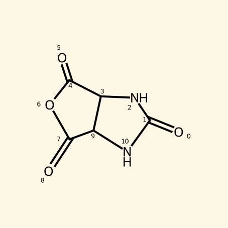 O=C1NC2C(=O)OC(=O)C2N1